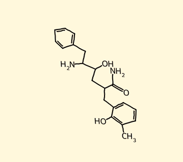 Cc1cccc(CC(CC(O)C(N)Cc2ccccc2)C(N)=O)c1O